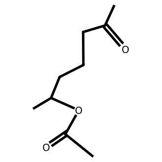 CC(=O)CCCC(C)OC(C)=O